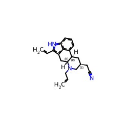 C=CCN1C[C@H](CC#N)C[C@@H]2c3cccc4[nH]c(C=C)c(c34)C[C@H]21